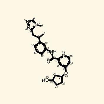 CC(Cc1nncn1C)c1cccc(NC(=O)c2cc(OC3CCC(O)C3)ccn2)c1